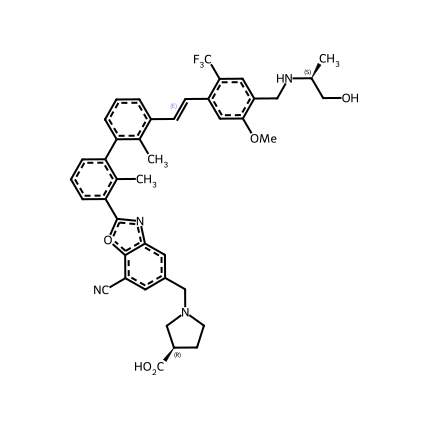 COc1cc(/C=C/c2cccc(-c3cccc(-c4nc5cc(CN6CC[C@@H](C(=O)O)C6)cc(C#N)c5o4)c3C)c2C)c(C(F)(F)F)cc1CN[C@@H](C)CO